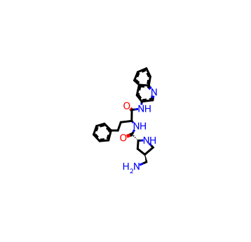 NC[C@@H]1CN[C@@H](C(=O)NC(CCc2ccccc2)C(=O)Nc2cnc3ccccc3c2)C1